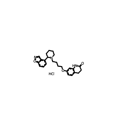 Cl.O=C1CCc2ccc(OCCCCN3CCCCC3c3cccc4oncc34)cc2N1